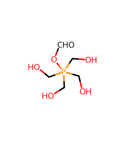 O=COP(CO)(CO)(CO)CO